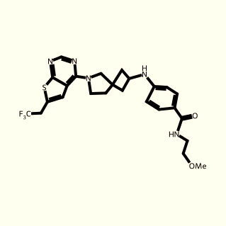 COCCNC(=O)c1ccc(NC2CC3(CCN(c4ncnc5sc(CC(F)(F)F)cc45)C3)C2)cc1